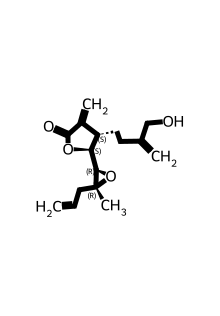 C=CC[C@@]1(C)O[C@@H]1[C@H]1OC(=O)C(=C)[C@@H]1CCC(=C)CO